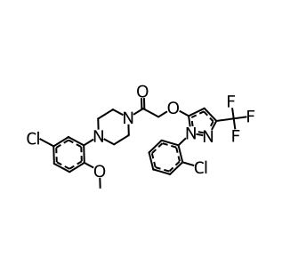 COc1ccc(Cl)cc1N1CCN(C(=O)COc2cc(C(F)(F)F)nn2-c2ccccc2Cl)CC1